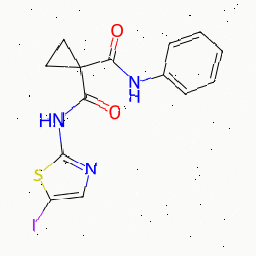 O=C(Nc1ccccc1)C1(C(=O)Nc2ncc(I)s2)CC1